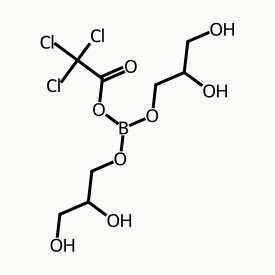 O=C(OB(OCC(O)CO)OCC(O)CO)C(Cl)(Cl)Cl